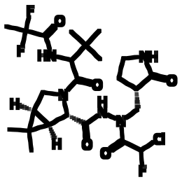 CC(F)(F)C(=O)NC(C(=O)N1C[C@H]2[C@@H]([C@H]1C(=O)NN(C[C@@H]1CCNC1=O)C(=O)C(F)Cl)C2(C)C)C(C)(C)C